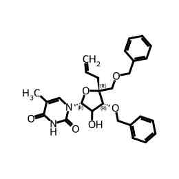 C=CC[C@]1(COCc2ccccc2)O[C@@H](n2cc(C)c(=O)[nH]c2=O)C(O)[C@H]1OCc1ccccc1